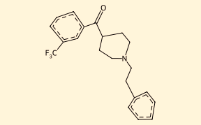 O=C(c1cccc(C(F)(F)F)c1)C1CCN(CCc2ccccc2)CC1